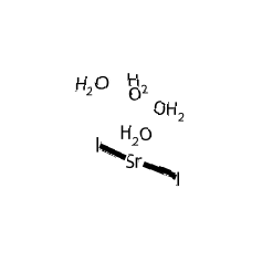 O.O.O.O.[I][Sr][I]